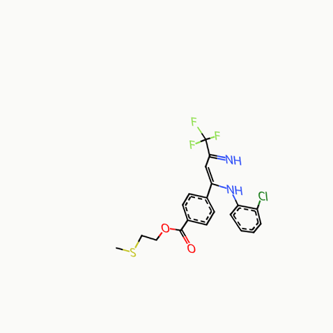 CSCCOC(=O)c1ccc(/C(=C/C(=N)C(F)(F)F)Nc2ccccc2Cl)cc1